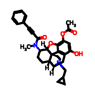 CC(=O)Oc1cc(O)c2c3c1O[C@H]1[C@H](N(C)C(=O)C#Cc4ccccc4)CC[C@H]4[C@@H](C2)N(CC2CC2)CC[C@@]341